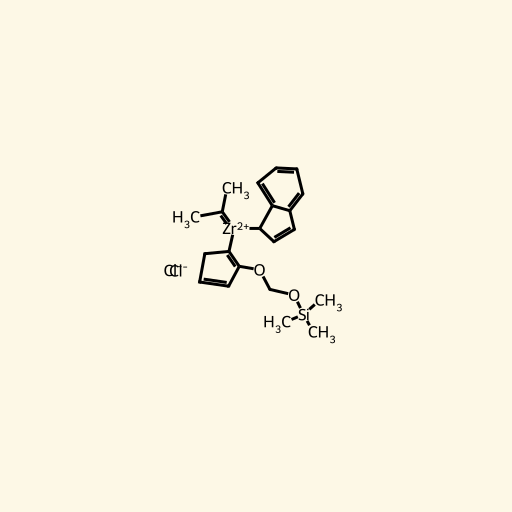 C[C](C)=[Zr+2]([C]1=C(OCO[Si](C)(C)C)C=CC1)[CH]1C=Cc2ccccc21.[Cl-].[Cl-]